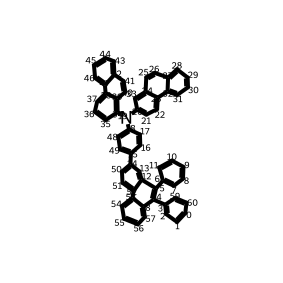 c1ccc(-c2c(-c3ccccc3)c3cc(-c4ccc(N(c5ccc6c(ccc7ccccc76)c5)c5cccc6c5ccc5ccccc56)cc4)ccc3c3ccccc23)cc1